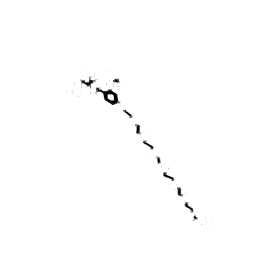 COCCOCCOCCOCCOCCOCCOCCOc1ccc(C2=N[C@@](C)(C(=O)O)CS2)c(OC(F)(F)F)c1